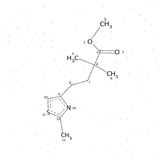 COC(=O)C(C)(C)CCc1csc(C)n1